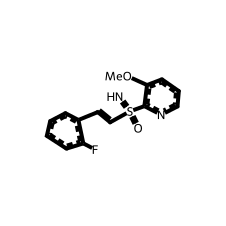 COc1cccnc1S(=N)(=O)/C=C/c1ccccc1F